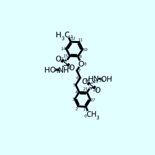 Cc1ccc(CCCOc2ccc(C)cc2S(=O)(=O)NO)c(S(=O)(=O)NO)c1